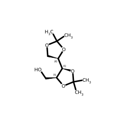 CC1(C)O[C@H]([C@H]2COC(C)(C)O2)[C@H](CO)O1